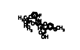 COc1cccc(C(CC(=O)O)NC(=O)c2cc(OCC(C)(O)C(C)C)n(-c3ccccc3F)n2)c1